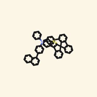 c1ccc(N(c2ccc(-c3cccc4c3C3(c5ccccc5-4)c4ccccc4-c4c3sc3ccccc43)cc2)c2ccc(-c3cccc4ccccc34)cc2)cc1